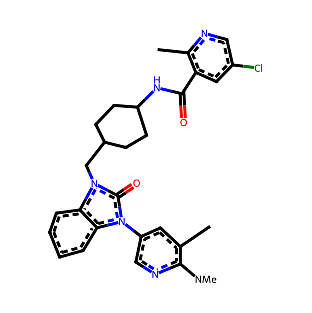 CNc1ncc(-n2c(=O)n(CC3CCC(NC(=O)c4cc(Cl)cnc4C)CC3)c3ccccc32)cc1C